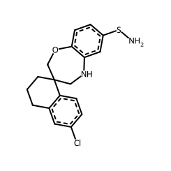 NSc1ccc2c(c1)NCC1(CCCc3cc(Cl)ccc31)CO2